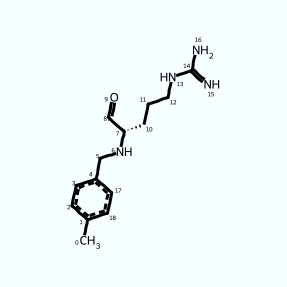 Cc1ccc(CN[C@H]([C]=O)CCCNC(=N)N)cc1